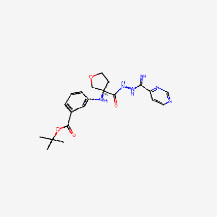 CC(C)(C)OC(=O)c1cccc(N[C@]2(C(=O)NNC(=N)c3ccncn3)CCOC2)c1